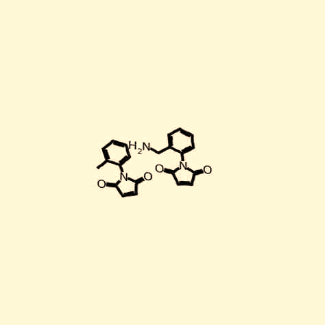 Cc1ccccc1N1C(=O)C=CC1=O.NCc1ccccc1N1C(=O)C=CC1=O